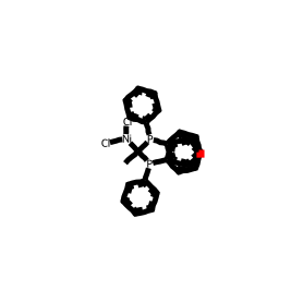 C[C](P(c1ccccc1)c1ccccc1)(P(c1ccccc1)c1ccccc1)[Ni]([Cl])[Cl]